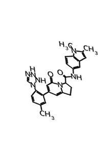 Cc1ccc(N2C=NNN2)c(-c2cc3n(c(=O)c2)C(C(=O)Nc2ccc4c(c2)cc(C)n4C)CC3)c1